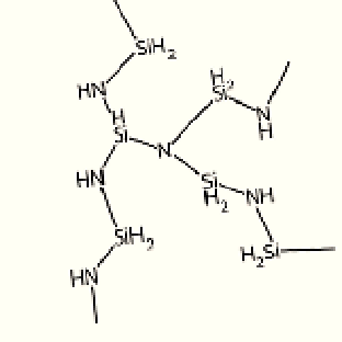 CN[SiH2]N[SiH](N[SiH2]C)N([SiH2]NC)[SiH2]N[SiH2]C